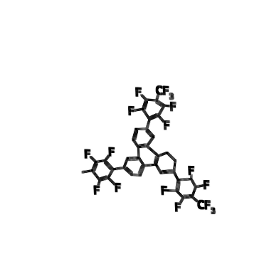 Cc1c(F)c(F)c(-c2ccc3c4c(c5cc(-c6c(F)c(F)c(C(F)(F)F)c(F)c6F)ccc5c3c2)CCC(C2=C(F)C(F)=C(C(F)(F)F)C(F)C2F)=C4)c(F)c1F